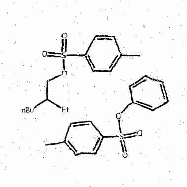 CCCCC(CC)COS(=O)(=O)c1ccc(C)cc1.Cc1ccc(S(=O)(=O)Oc2ccccc2)cc1